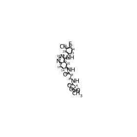 CS(=O)(=O)CC(=O)NCCC(=O)Nc1ccc2ncnc(Nc3ccc(F)c(Cl)c3)c2c1